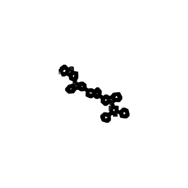 c1ccc(-c2cc(-n3c4ccccc4c4cc(-c5ccc6cc(-c7ccc8c(c7)c7ccccc7n8-c7ccc8oc9ccncc9c8c7)ccc6c5)ccc43)nc(-c3ccccc3)n2)cc1